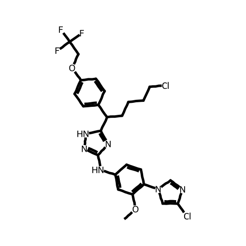 COc1cc(Nc2n[nH]c(C(CCCCCl)c3ccc(OCC(F)(F)F)cc3)n2)ccc1-n1cnc(Cl)c1